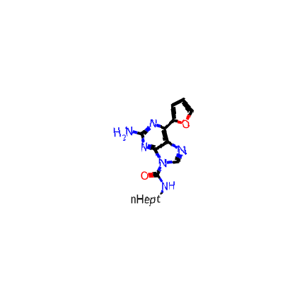 CCCCCCCNC(=O)n1cnc2c(-c3ccco3)nc(N)nc21